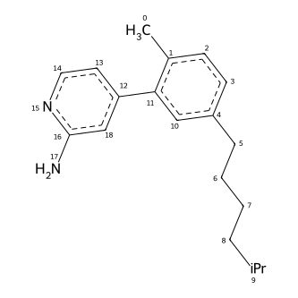 Cc1ccc(CCCCC(C)C)cc1-c1ccnc(N)c1